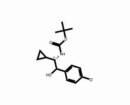 CC(C)(C)OC(=O)N[C@@H](C1CC1)C(O)c1ccc(Cl)cc1